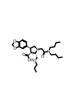 CCCCN(CCCC)C(=O)CN1C[C@H](c2ccc3c(c2)OCO3)[C@H](C(=O)O)[C@H]1COCCC